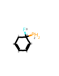 FC1(P)C=CC=CC1